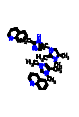 CC1CN(C)C(C)N1C.Cc1c[n+](C)cn1C.Cc1ncc[nH]1.c1ccc2ncccc2c1.c1ccc2ncccc2c1